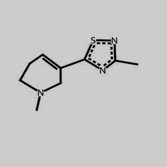 Cc1nsc(C2=CCCN(C)C2)n1